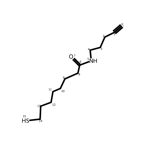 [C]#CCCCNC(=O)CCCCCCCS